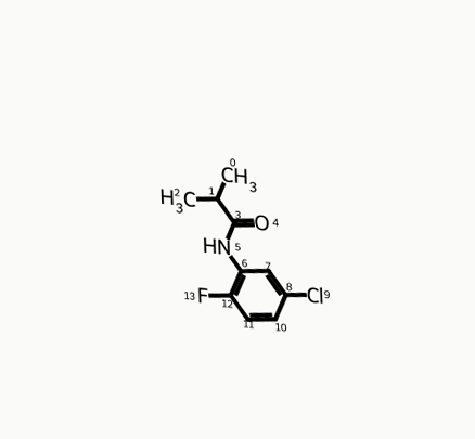 CC(C)C(=O)Nc1cc(Cl)ccc1F